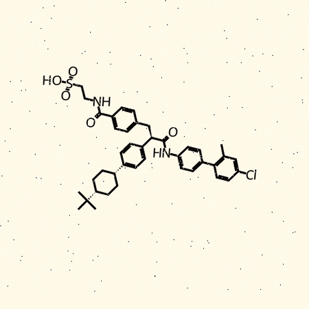 Cc1cc(Cl)ccc1-c1ccc(NC(=O)[C@H](Cc2ccc(C(=O)NCCS(=O)(=O)O)cc2)c2ccc([C@H]3CC[C@@H](C(C)(C)C)CC3)cc2)cc1